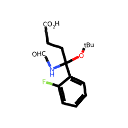 CC(C)(C)OC(CCC(=O)O)(NC=O)c1ccccc1F